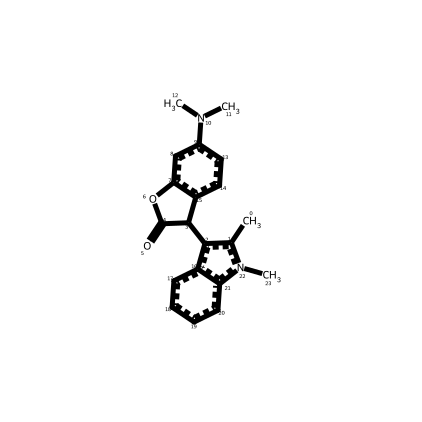 Cc1c(C2C(=O)Oc3cc(N(C)C)ccc32)c2ccccc2n1C